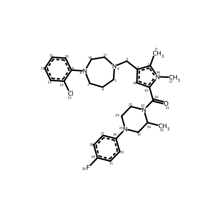 Cc1c(CN2CCCN(c3ccccc3Cl)CC2)cc(C(=O)N2CCN(c3ccc(F)cc3)CC2C)n1C